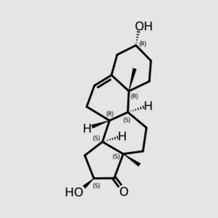 C[C@]12CC[C@@H](O)CC1=CC[C@@H]1[C@@H]2CC[C@]2(C)C(=O)[C@@H](O)C[C@@H]12